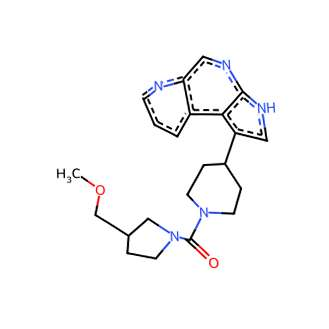 COCC1CCN(C(=O)N2CCC(c3c[nH]c4ncc5ncccc5c34)CC2)C1